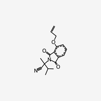 C=CCOc1cccc2c1C(=O)N(C(C)(C#N)C(C)C)C2=O